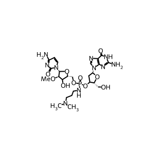 CO[C@@H]1C(O)[C@@H](COP(=O)(NCCCN(C)C)OC2C[C@H](n3cnc4c(=O)[nH]c(N)nc43)O[C@@H]2CO)O[C@H]1n1ccc(N)nc1=O